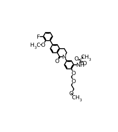 COCCOCOc1ccc(N2CCc3cc(-c4cccc(F)c4OC)ccc3C2=O)cc1NS(C)(=O)=O